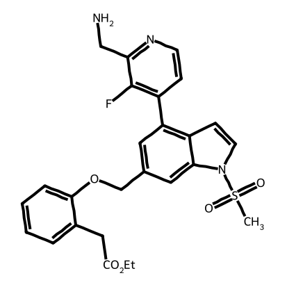 CCOC(=O)Cc1ccccc1OCc1cc(-c2ccnc(CN)c2F)c2ccn(S(C)(=O)=O)c2c1